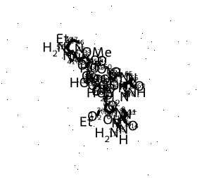 CCOCC[C@H]1[C@@H](O)[C@H](n2c[n+](C)c3c(=O)[nH]c(N)nc32)O[C@@H]1COP(=O)(O)OP(=O)(O)OP(=O)(O)OC[C@H]1O[C@@H](n2cnc3c2N=CCC(CC)=C3N)[C@H](OC)[C@@H]1OP(=O)(O)OC[C@H]1O[C@@H](n2cnc3c(=O)[nH]c(N)nc32)[C@H](O)[C@@H]1O